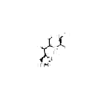 CC=C(C)[SiH2]C(CC)C(O)c1c[nH]nn1